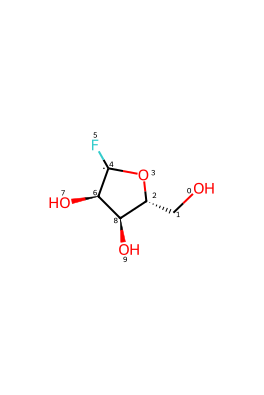 OC[C@H]1O[C](F)[C@H](O)[C@@H]1O